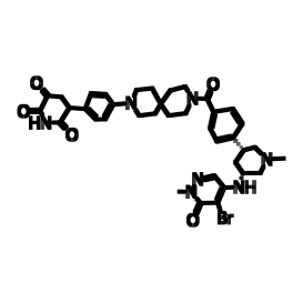 CN1C[C@H](Nc2cnn(C)c(=O)c2Br)C[C@H](c2ccc(C(=O)N3CCC4(CC3)CCN(c3ccc(C5CC(=O)C(=O)NC5=O)cc3)CC4)cc2)C1